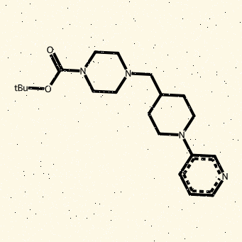 CC(C)(C)OC(=O)N1CCN(CC2CCN(c3cccnc3)CC2)CC1